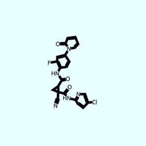 N#CC1(C(=O)Nc2ccc(Cl)cn2)CC1C(=O)Nc1ccc(-n2ccccc2=O)cc1F